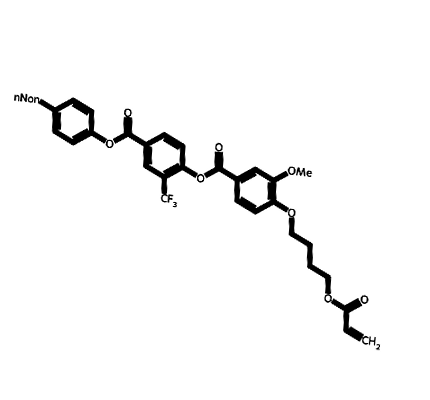 C=CC(=O)OCCCCOc1ccc(C(=O)Oc2ccc(C(=O)Oc3ccc(CCCCCCCCC)cc3)cc2C(F)(F)F)cc1OC